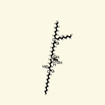 CCCCCCCCCCCOC(=O)C(O)CCCCN(CCCCCCCC(=O)OC(CCCCCCCC)CCCCCCCC)C(O)(O)CO